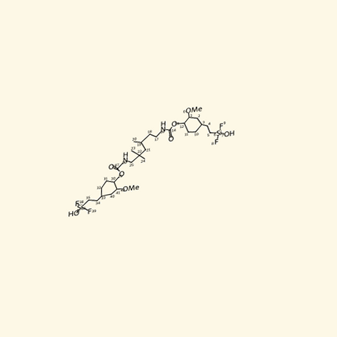 COC1CC(CC[Si](O)(F)F)CCC1OC(=O)NCCC(C)CC(C)(C)CNC(=O)OC1CCC(CC[Si](O)(F)F)CC1OC